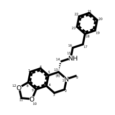 CN1CCc2c(ccc3c2OCO3)[C@@H]1CNCCc1ccccc1